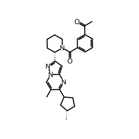 CC(=O)c1cccc(C(=O)N2CCCC[C@H]2c2cc3nc(C4CC[C@H](C)C4)c(C)cn3n2)c1